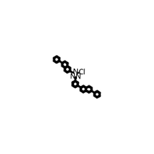 Clc1nc(-c2cccc(-c3ccc4cc(-c5ccccc5)ccc4c3)c2)nc(-c2ccc3cc(-c4ccccc4)ccc3c2)n1